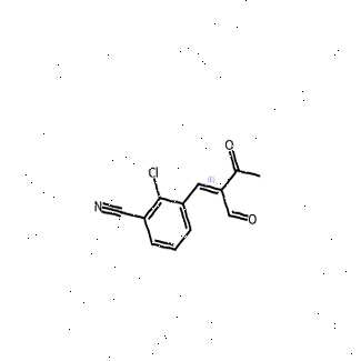 CC(=O)/C(C=O)=C/c1cccc(C#N)c1Cl